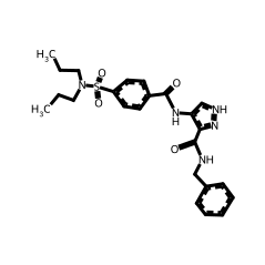 CCCN(CCC)S(=O)(=O)c1ccc(C(=O)Nc2c[nH]nc2C(=O)NCc2ccccc2)cc1